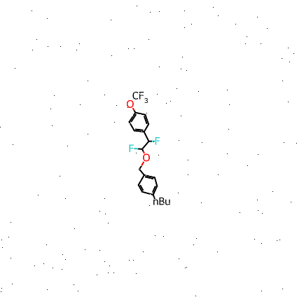 CCCCc1ccc(COC(F)C(F)c2ccc(OC(F)(F)F)cc2)cc1